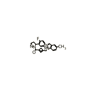 Cc1ccc2c(cnn2CC23CC(C(=O)N4N=CCC4c4cc(F)ccc4F)(C2)C3)c1